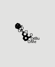 COc1ccc(C[C@@H](Cl)B2OC3CC4CC(C4(C)C)[C@]3(C)O2)c(C)c1C(=O)OC(C)(C)C